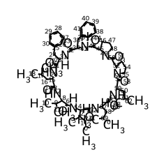 CCC(C)C1NC(=O)C(C(C)C)NC(=O)C(CC(C)C)NC(=O)C(Cc2ccccc2)NC(=O)C(Cc2ccccc2)NC(=O)C2CCCN2C(=O)C2CCCN2C(=O)C(CC(C)C)NC(=O)C(CC(C)C)NC1=O